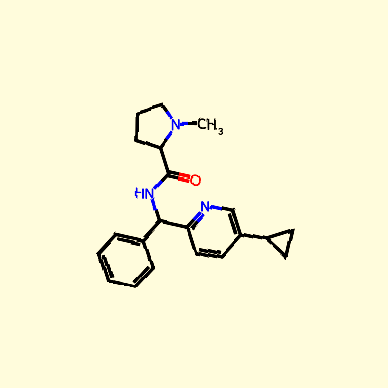 CN1CCCC1C(=O)NC(c1ccccc1)c1ccc(C2CC2)cn1